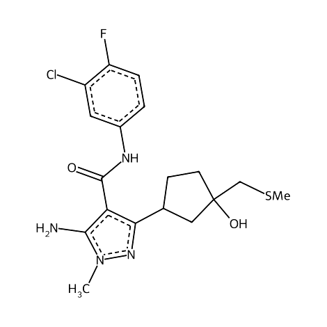 CSCC1(O)CCC(c2nn(C)c(N)c2C(=O)Nc2ccc(F)c(Cl)c2)C1